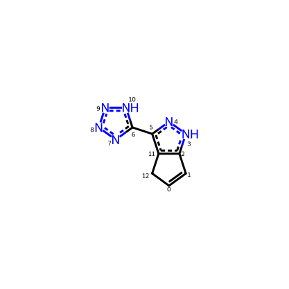 C1=Cc2[nH]nc(-c3nnn[nH]3)c2C1